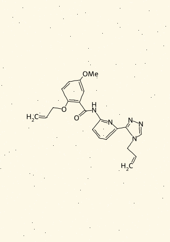 C=CCOc1ccc(OC)cc1C(=O)Nc1cccc(-c2nncn2CC=C)n1